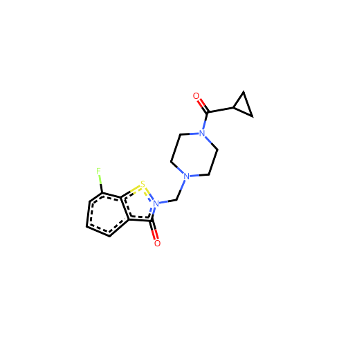 O=C(C1CC1)N1CCN(Cn2sc3c(F)cccc3c2=O)CC1